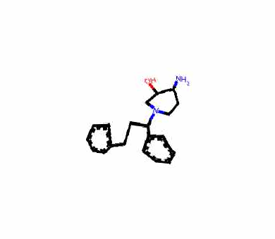 NC1CCN(C(CCc2ccccc2)c2ccccc2)CC1O